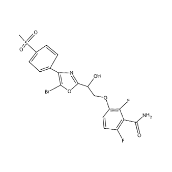 CS(=O)(=O)c1ccc(-c2nc(C(O)COc3ccc(F)c(C(N)=O)c3F)oc2Br)cc1